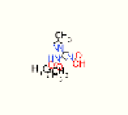 Cc1cnn([C@@H]2CN(C(=O)O)C[C@H]2NC(=O)OC(C)(C)C)c1